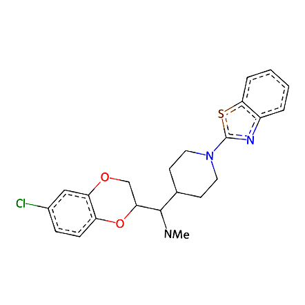 CNC(C1CCN(c2nc3ccccc3s2)CC1)C1COc2cc(Cl)ccc2O1